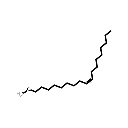 CCCCCCCC/C=C\CCCCCCCCOP